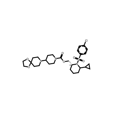 O=C(OC[C@H]1CCCC(C2CC2)N1S(=O)(=O)c1ccc(Cl)cc1)N1CCC(N2CCC3(CC2)OCCO3)CC1